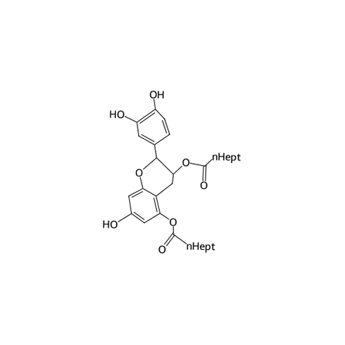 CCCCCCCC(=O)Oc1cc(O)cc2c1CC(OC(=O)CCCCCCC)C(c1ccc(O)c(O)c1)O2